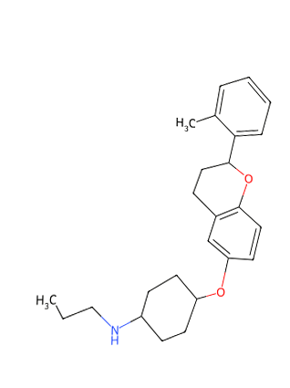 CCCNC1CCC(Oc2ccc3c(c2)CCC(c2ccccc2C)O3)CC1